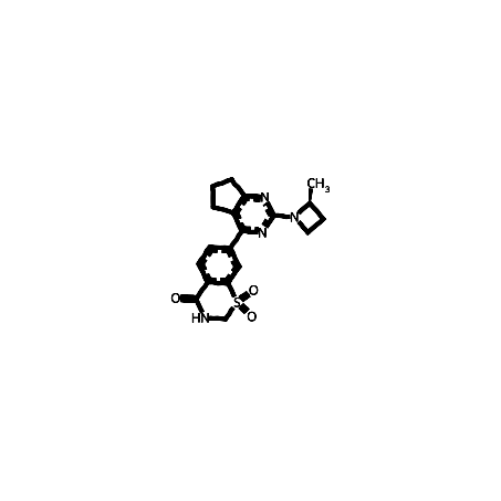 C[C@H]1CCN1c1nc2c(c(-c3ccc4c(c3)S(=O)(=O)CNC4=O)n1)CCC2